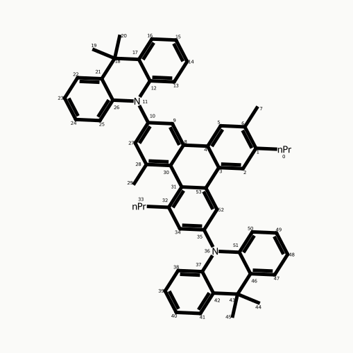 CCCc1cc2c(cc1C)c1cc(N3c4ccccc4C(C)(C)c4ccccc43)cc(C)c1c1c(CCC)cc(N3c4ccccc4C(C)(C)c4ccccc43)cc21